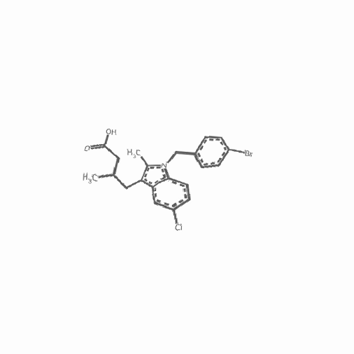 Cc1c(CC(C)CC(=O)O)c2cc(Cl)ccc2n1Cc1ccc(Br)cc1